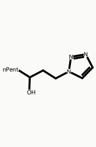 CCCCCC(O)CCn1ccnn1